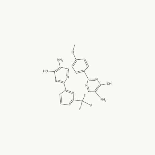 COc1ccc(-c2ncc(N)c(O)n2)cc1.Nc1cnc(-c2cccc(C(F)(F)F)c2)nc1O